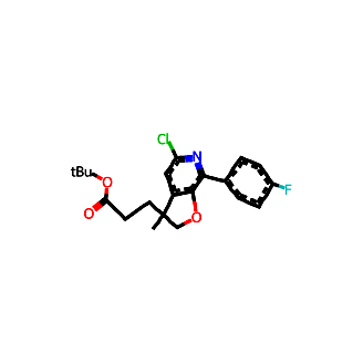 CC(C)(C)OC(=O)CCC1(C)COc2c1cc(Cl)nc2-c1ccc(F)cc1